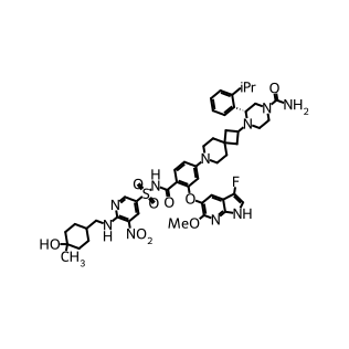 COc1nc2[nH]cc(F)c2cc1Oc1cc(N2CCC3(CC2)CC(N2CCN(C(N)=O)C[C@H]2c2ccccc2C(C)C)C3)ccc1C(=O)NS(=O)(=O)c1cnc(NCC2CCC(C)(O)CC2)c([N+](=O)[O-])c1